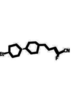 CC[C@H]1CC[C@H](C2CCC(CCC=C(F)C#N)CC2)CC1